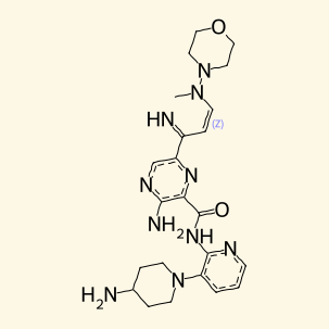 CN(/C=C\C(=N)c1cnc(N)c(C(=O)Nc2ncccc2N2CCC(N)CC2)n1)N1CCOCC1